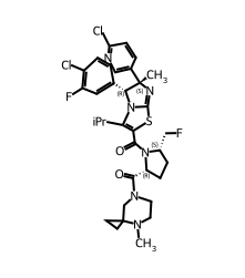 CC(C)C1=C(C(=O)N2[C@H](CF)CC[C@@H]2C(=O)N2CCN(C)C3(CC3)C2)SC2=N[C@@](C)(c3ccc(Cl)nc3)[C@@H](c3ccc(Cl)c(F)c3)N21